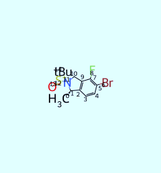 C[C@@H]1c2ccc(Br)c(F)c2CN1[S@+]([O-])C(C)(C)C